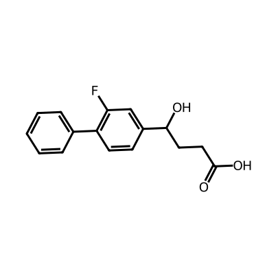 O=C(O)CCC(O)c1ccc(-c2ccccc2)c(F)c1